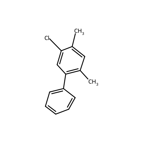 Cc1cc(C)c(-c2ccccc2)cc1Cl